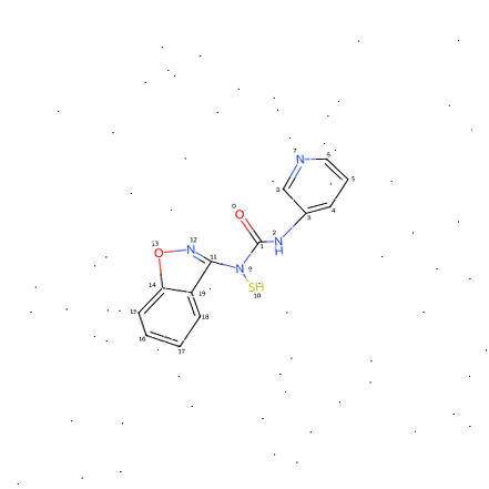 O=C(Nc1cccnc1)N(S)c1noc2ccccc12